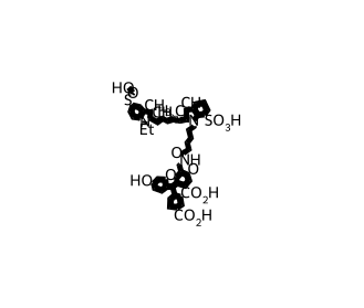 CC[N+]1=C(/C=C/C=C/C=C2/N(CCCCCC(=O)NCc3c4oc5cc(O)ccc5c(-c5ccc(C(=O)O)cc5C(=O)O)c-4ccc3=O)c3c(cccc3S(=O)(=O)O)C2(C)C)C(C)(C)c2cc(SOO)ccc21